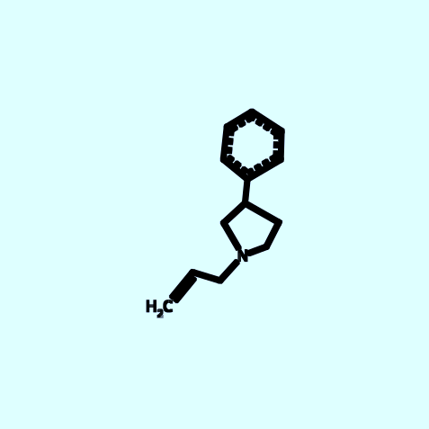 C=CCN1CCC(c2ccccc2)C1